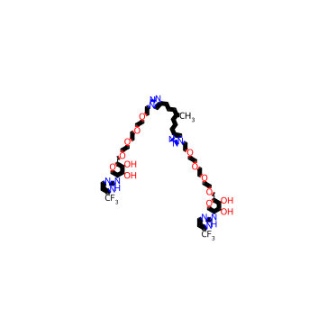 CC(CCCc1cn(CCOCCOCCOCCOC[C@H]2OC[C@H](Nc3nccc(C(F)(F)F)n3)[C@@H](O)[C@H]2O)nn1)CCCc1cn(CCOCCOCCOCCOC[C@H]2OC[C@H](Nc3nccc(C(F)(F)F)n3)[C@@H](O)[C@H]2O)nn1